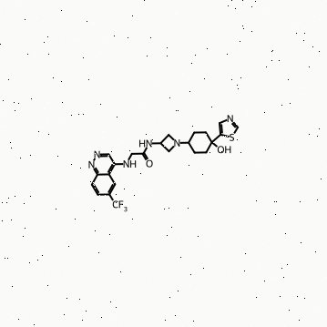 O=C(CNc1cnnc2ccc(C(F)(F)F)cc12)NC1CN(C2CCC(O)(c3cncs3)CC2)C1